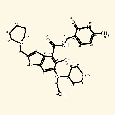 CCN(c1cc2oc(CN3CCCCC3)cc2c(C(=O)NCc2ccc(C)[nH]c2=O)c1C)C1CCOCC1